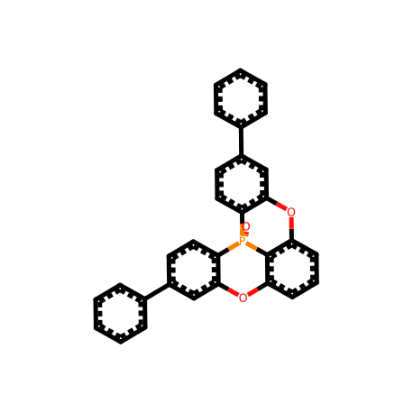 O=P12c3ccc(-c4ccccc4)cc3Oc3cccc(c31)Oc1cc(-c3ccccc3)ccc12